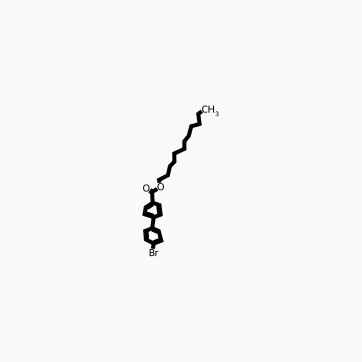 CCCCCCCCCCCCOC(=O)c1ccc(-c2ccc(Br)cc2)cc1